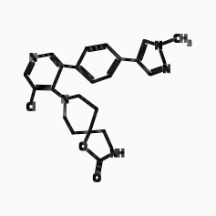 Cn1cc(-c2ccc(-c3cncc(Cl)c3N3CCC4(CC3)CNC(=O)O4)cc2)cn1